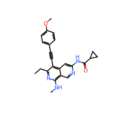 CCc1nc(NC)c2cnc(NC(=O)C3CC3)cc2c1C#Cc1ccc(OC)cc1